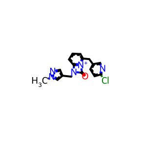 Cn1cc(CN2C(=O)[n+]3c(Cc4ccc(Cl)nc4)cccc32)cn1